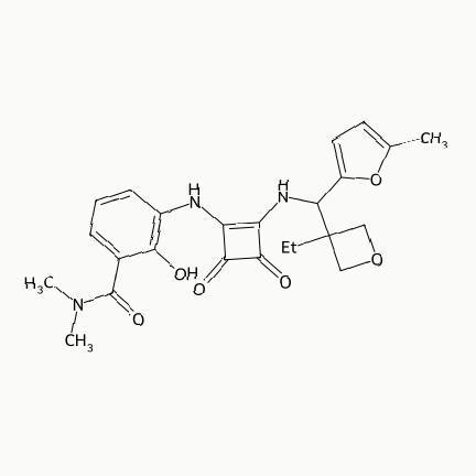 CCC1(C(Nc2c(Nc3cccc(C(=O)N(C)C)c3O)c(=O)c2=O)c2ccc(C)o2)COC1